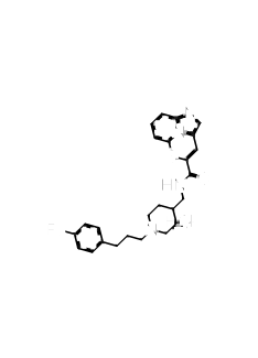 CCc1ccc(CCCN2CCC(CNC(=O)C3=Cc4cnc5cccc(n45)S3)CC2)cc1.Cl.Cl